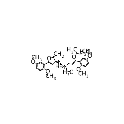 C=C1OC(c2cc(OC)ccc2OC)=C/C1=N\BN(CC)C/C=C(\OC(C)CC)c1cc(OC)ccc1OC